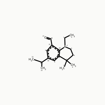 CCN1CCC(C)(C)c2cc(C(C)C)cc(C=O)c21